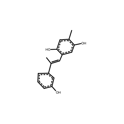 C/C(=C\c1cc(O)c(C)cc1O)c1cccc(O)c1